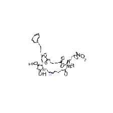 CCNC(=O)CCC/C=C\C[C@@H]1[C@@H](/C=C/[C@H](CCc2ccccc2)OC(=O)CCC(=O)OCCCCO[N+](=O)[O-])[C@H](O)C[C@@H]1O